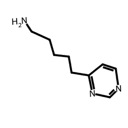 NCCCCCc1ccncn1